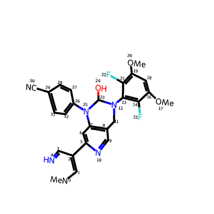 CN/C=C(\C=N)c1cc2c(cn1)CN(c1c(F)c(OC)cc(OC)c1F)C(O)N2c1ccc(C#N)cc1